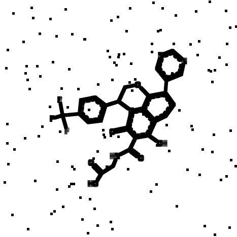 O=C(O)CNC(=O)c1c(O)c2ccc(-c3cncnc3)c3c2n(c1=O)C(c1ccc(C(F)(F)F)cc1)CO3